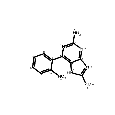 CSc1nc2nc(N)nc(-c3ccccc3[N+](=O)[O-])c2[nH]1